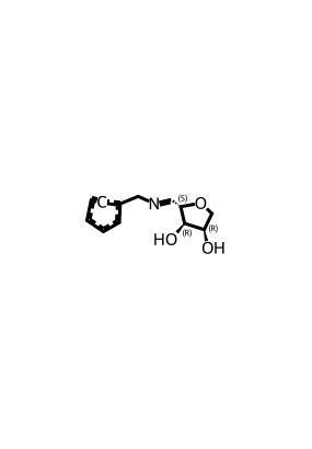 O[C@@H]1[C@H](O)CO[C@H]1C=NCc1ccccc1